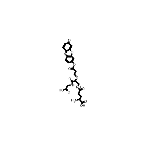 NC(CCC(=O)NCC(SCCC(=O)Oc1ccc2nc3ccc(=O)cc-3oc2c1)C(=O)NCC(=O)O)C(=O)O